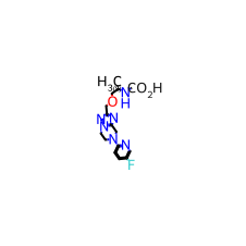 C[C@@H](COCc1nc2n(n1)CCN(c1ccc(F)cn1)C2)NC(=O)O